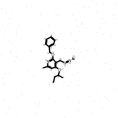 CCC(C)Oc1cc(C)nc(OCc2ccccc2)c1CN=[N+]=[N-]